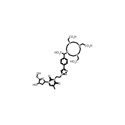 Cc1cn(C2CC(O)[C@@H](CO)S2)c(=O)n(CCn2cc(-c3ccc(C(C(=O)O)N4CCN(CC(=O)O)CCN(CC(=O)O)CCN(CC(=O)O)CC4)cc3)nn2)c1=O